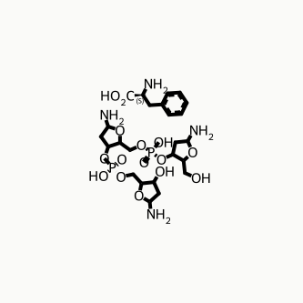 NC1CC(O)C(COP(=O)(O)OC2CC(N)OC2COP(=O)(O)OC2CC(N)OC2CO)O1.N[C@@H](Cc1ccccc1)C(=O)O